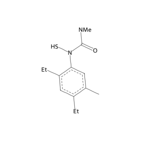 CCc1cc(CC)c(N(S)C(=O)NC)cc1C